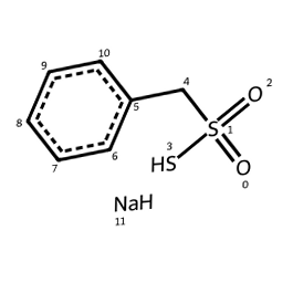 O=S(=O)(S)Cc1ccccc1.[NaH]